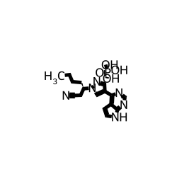 CCCC[C@@H](CC#N)n1cc(-c2ncnc3[nH]ccc23)cn1.O=P(O)(O)O